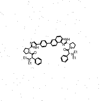 CCN(CC)[C@@H](C(=O)N1CCC[C@H]1c1ncc(-c2ccc(-c3ccc4c(ccc5[nH]c([C@@H]6CCCN6C(=O)[C@@H](c6ccccc6)N(CC)CC)nc54)c3)cc2)[nH]1)c1ccccc1